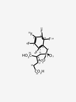 CC(=O)OP(=O)(Cc1c(F)c(F)c(F)c(F)c1F)CC(CCC(=O)O)C(=O)O